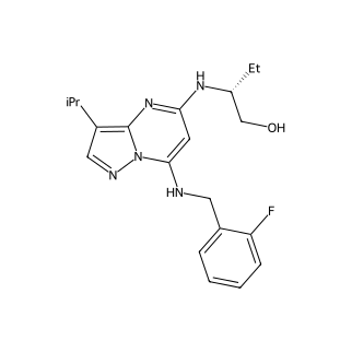 CC[C@H](CO)Nc1cc(NCc2ccccc2F)n2ncc(C(C)C)c2n1